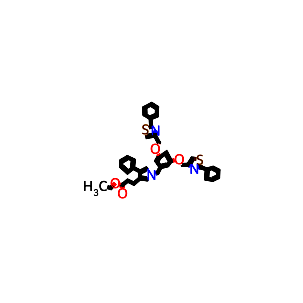 CCOC(=O)CCc1cn(Cc2cc(OCc3csc(-c4ccccc4)n3)cc(OCc3csc(-c4ccccc4)n3)c2)cc1-c1ccccc1